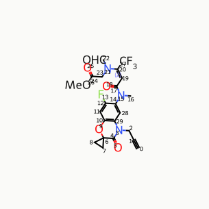 C#CCN1C(=O)C2(CC2)Oc2cc(F)c(N(C)C(=O)/C=C(\N(C=O)CC(=O)OC)C(F)(F)F)cc21